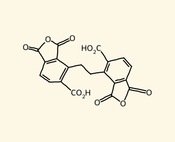 O=C(O)c1ccc2c(c1CCc1c(C(=O)O)ccc3c1C(=O)OC3=O)C(=O)OC2=O